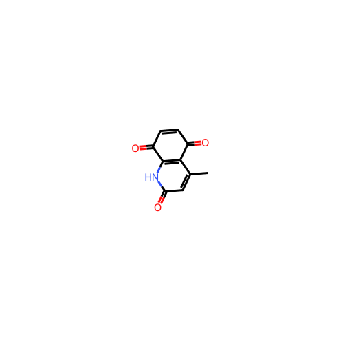 Cc1cc(=O)[nH]c2c1C(=O)C=CC2=O